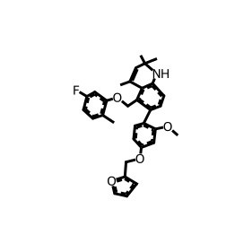 COc1cc(OCc2ccco2)ccc1-c1ccc2c(c1COc1cc(F)ccc1C)C(C)=CC(C)(C)N2